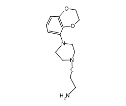 NCCCN1CCN(c2cccc3c2OCCO3)CC1